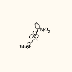 CC(C=CO[Si](C)(C)C(C)(C)C)OC(=O)OCc1ccccc1[N+](=O)[O-]